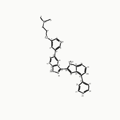 CN(C)CCOc1cncc(-c2cnc3[nH]nc(-c4cc5c(-c6ccncc6)cccc5[nH]4)c3c2)c1